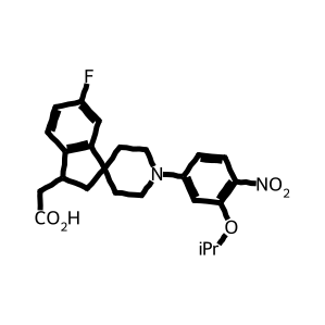 CC(C)Oc1cc(N2CCC3(CC2)CC(CC(=O)O)c2ccc(F)cc23)ccc1[N+](=O)[O-]